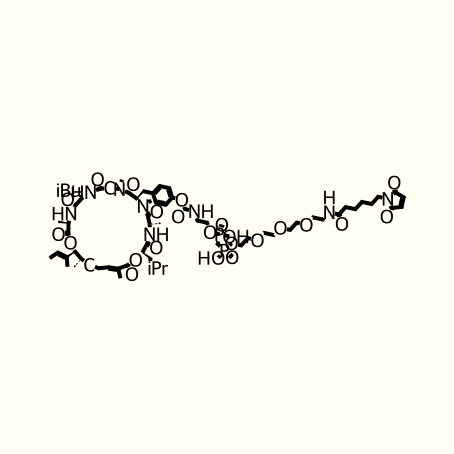 C/C=C(\C)[C@H]1OC(=O)[C@@H](C)NC(=O)[C@H](C(C)CC)NC(=O)CN(C)C(=O)[C@@H](Cc2ccc(OC(=O)NCCOP(=O)(O)CP(=O)(O)OCCOCCOCCOCCNC(=O)CCCCCN3C(=O)C=CC3=O)cc2)N(C)C(=O)[C@H](C)NC(=O)[C@@H](CC(C)C)OC(=O)/C(C)=C/CC[C@@H]1C